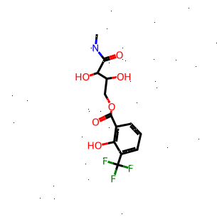 C[N]C(=O)C(O)C(O)COC(=O)c1cccc(C(F)(F)F)c1O